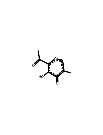 CC(=O)c1occ(C)c(=O)c1O